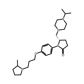 CC(C)N1CCN(C[C@@H]2CCC(=O)N2c2ccc(OCCCN3CCCC3C)cc2)CC1